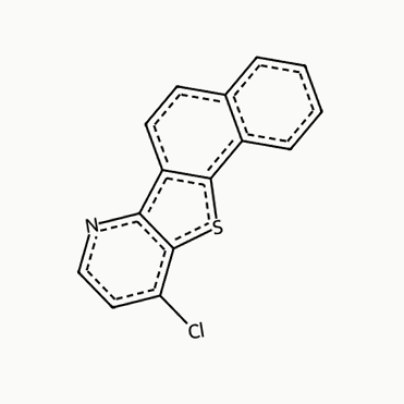 Clc1ccnc2c1sc1c3ccccc3ccc21